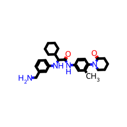 Cc1cc(NC(=O)C(Nc2cccc(CN)c2)C2CCCCC2)ccc1N1CCCCC1=O